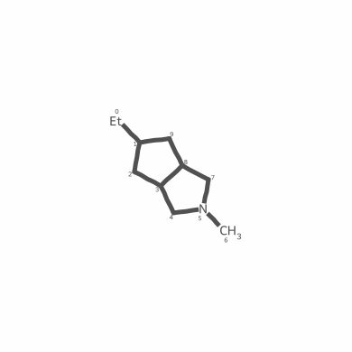 CCC1CC2CN(C)CC2C1